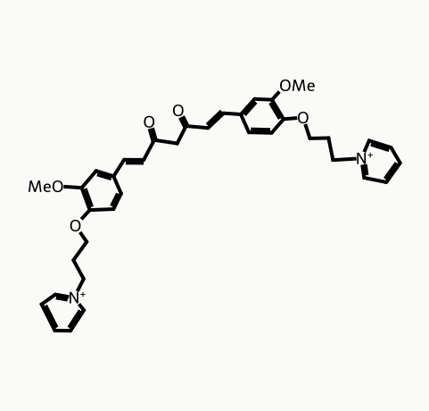 COc1cc(/C=C/C(=O)CC(=O)/C=C/c2ccc(OCCC[n+]3ccccc3)c(OC)c2)ccc1OCCC[n+]1ccccc1